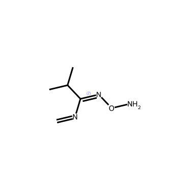 C=N/C(=N\ON)C(C)C